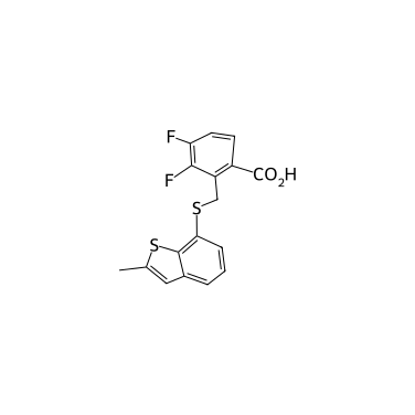 Cc1cc2cccc(SCc3c(C(=O)O)ccc(F)c3F)c2s1